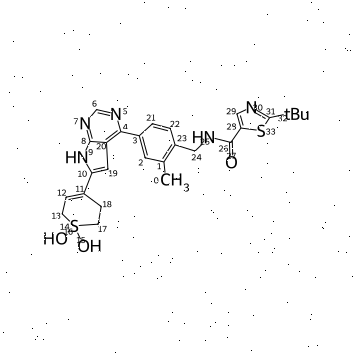 Cc1cc(-c2ncnc3[nH]c(C4=CCS(O)(O)CC4)cc23)ccc1CNC(=O)c1cnc(C(C)(C)C)s1